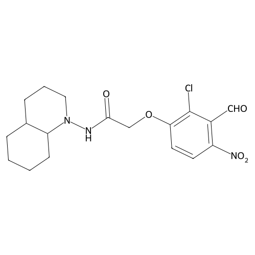 O=Cc1c([N+](=O)[O-])ccc(OCC(=O)NN2CCCC3CCCCC32)c1Cl